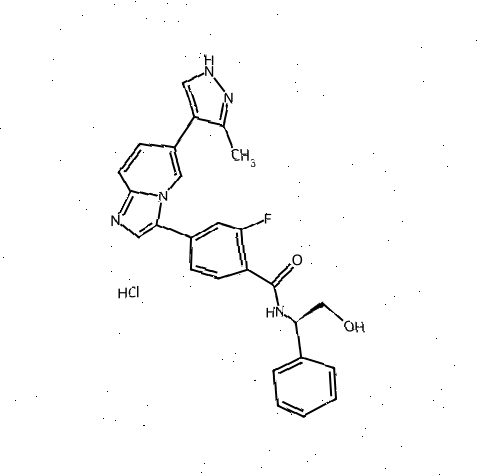 Cc1n[nH]cc1-c1ccc2ncc(-c3ccc(C(=O)N[C@@H](CO)c4ccccc4)c(F)c3)n2c1.Cl